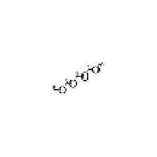 COCOCOCOC